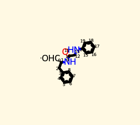 O=[C][C@H](Cc1ccccc1)NC(=O)CNc1ccccc1